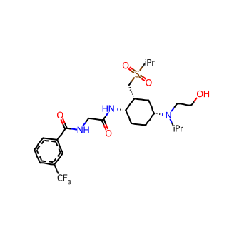 CC(C)N(CCO)[C@@H]1CC[C@H](NC(=O)CNC(=O)c2cccc(C(F)(F)F)c2)[C@H](CS(=O)(=O)C(C)C)C1